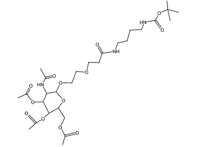 CC(=O)NC1C(OCCOCCC(=O)NCCCCNC(=O)OC(C)(C)C)OC(COC(C)=O)C(OC(C)=O)C1OC(C)=O